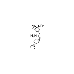 CC(C)c1cc(CC(N)C(=O)N2CCC(N3CCCCC3)CC2)cc2cn[nH]c12